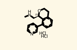 CNC[C@H]1OCCc2cccc(-c3cccnc3)c21.Cl.Cl